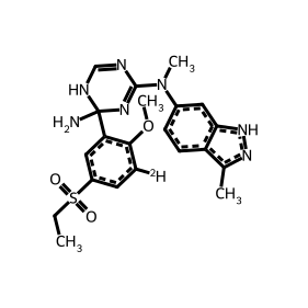 [2H]c1cc(S(=O)(=O)CC)cc(C2(N)N=C(N(C)c3ccc4c(C)n[nH]c4c3)N=CN2)c1OC